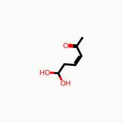 CC(=O)/C=C\CC(O)O